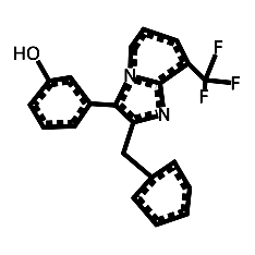 Oc1cccc(-c2c(Cc3ccccc3)nc3c(C(F)(F)F)cccn23)c1